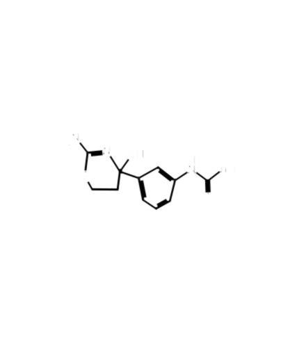 CCCC(=O)Nc1cccc(C2(C)CCSC(N)=N2)c1